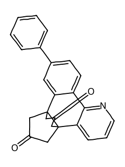 O=C1CC23CC(=O)CC2(C1)c1cccnc1-c1ccc(-c2ccccc2)cc13